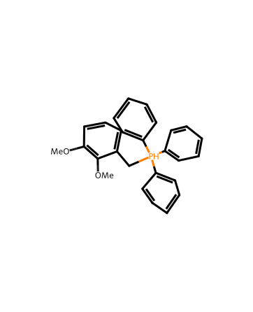 COc1cccc(C[PH](c2ccccc2)(c2ccccc2)c2ccccc2)c1OC